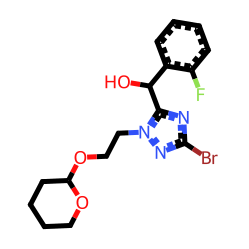 OC(c1ccccc1F)c1nc(Br)nn1CCOC1CCCCO1